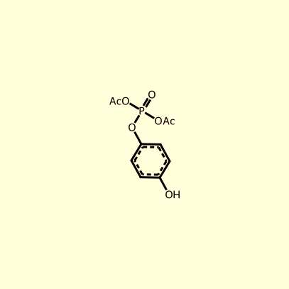 CC(=O)OP(=O)(OC(C)=O)Oc1ccc(O)cc1